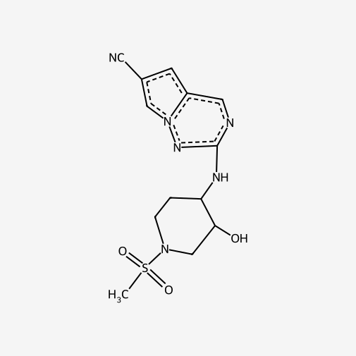 CS(=O)(=O)N1CCC(Nc2ncc3cc(C#N)cn3n2)C(O)C1